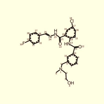 CN(CCO)Cc1cccc(C(=O)Nc2ccc(Cl)cc2C(=O)NN=Cc2ccc(F)cc2)c1